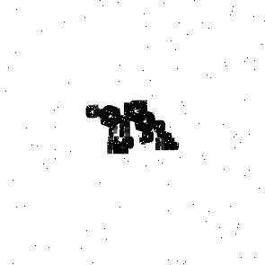 CNCCOc1cc2ncnc(Nc3ccc(Cl)cc3F)c2cc1OC.Cl.O